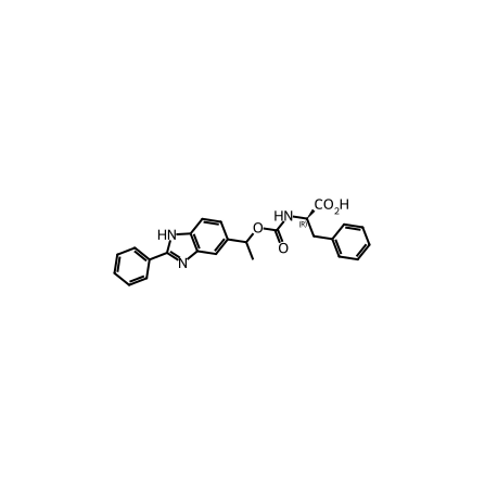 CC(OC(=O)N[C@H](Cc1ccccc1)C(=O)O)c1ccc2[nH]c(-c3ccccc3)nc2c1